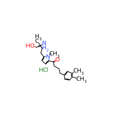 Cc1ccc(CCCC(=O)c2ccc(CC[C@@](C)(N)CO)n2C)cc1C.Cl